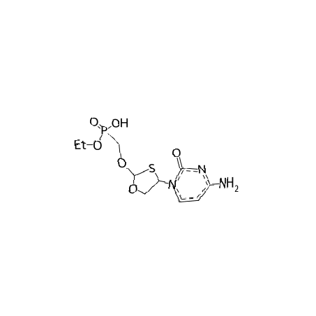 CCOP(=O)(O)COC1OCC(n2ccc(N)nc2=O)S1